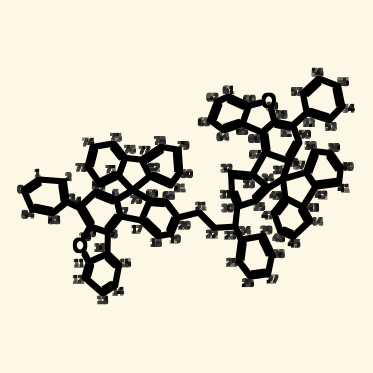 c1ccc(-c2cc3c(c4c2oc2ccccc24)-c2ccc(CCC(c4ccccc4)c4ccc5c(c4)C4(c6ccccc6-c6ccccc64)c4cc(-c6ccccc6)c6oc7ccccc7c6c4-5)cc2C32c3ccccc3-c3ccccc32)cc1